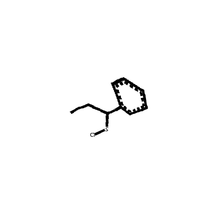 CCC(SCl)c1ccccc1